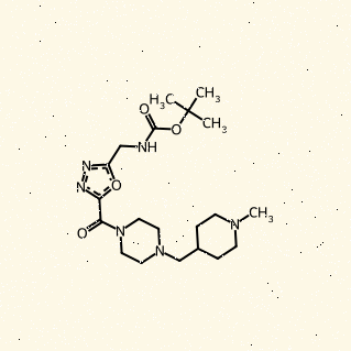 CN1CCC(CN2CCN(C(=O)c3nnc(CNC(=O)OC(C)(C)C)o3)CC2)CC1